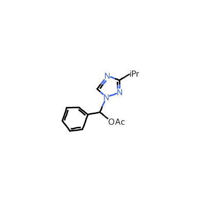 CC(=O)OC(c1ccccc1)n1cnc(C(C)C)n1